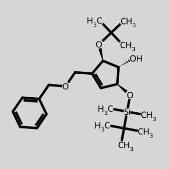 CC(C)(C)O[C@@H]1C(COCc2ccccc2)=C[C@H](O[Si](C)(C)C(C)(C)C)[C@H]1O